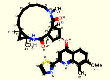 COc1ccc2c(O[C@@H]3C[C@H]4C(=O)N[C@]5(C(=O)O)C[C@H]5CCCCCCN(C)C(=O)[C@@H]4C3)cc(-c3nccs3)nc2c1C